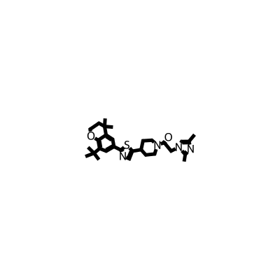 Cc1cn(CC(=O)N2CCC(c3cnc(-c4cc(C(C)(C)C)c5c(c4)C(C)(C)CCO5)s3)CC2)c(C)n1